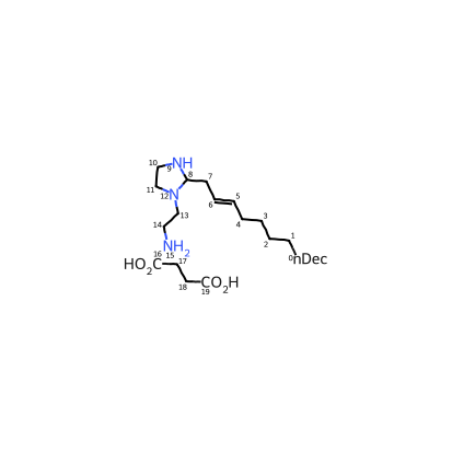 CCCCCCCCCCCCCCC=CCC1NCCN1CCN.O=C(O)CCC(=O)O